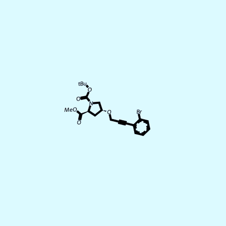 COC(=O)[C@@H]1C[C@@H](OCC#Cc2ccccc2Br)CN1C(=O)OC(C)(C)C